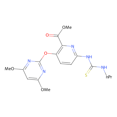 CCCNC(=S)Nc1ccc(Oc2nc(OC)cc(OC)n2)c(C(=O)OC)n1